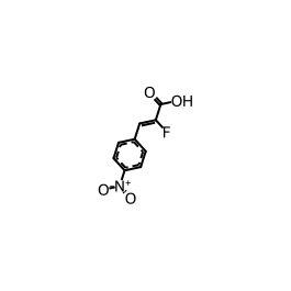 O=C(O)C(F)=Cc1ccc([N+](=O)[O-])cc1